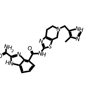 Cc1nc[nH]c1CN1CCc2nc(NC(=O)c3cccc4[nH]c(C(N)=O)nc34)sc2C1